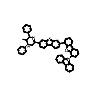 CC1C(c2ccccc2)N=C(c2ccc3c(c2)sc2cc(-c4cccc5c4oc4c(-n6c7ccccc7c7ccccc76)cccc45)ccc23)C[C@H]1c1ccccc1